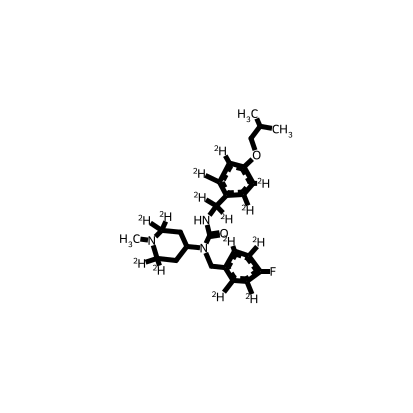 [2H]c1c([2H])c(CN(C(=O)NC([2H])([2H])c2c([2H])c([2H])c(OCC(C)C)c([2H])c2[2H])C2CC([2H])([2H])N(C)C([2H])([2H])C2)c([2H])c([2H])c1F